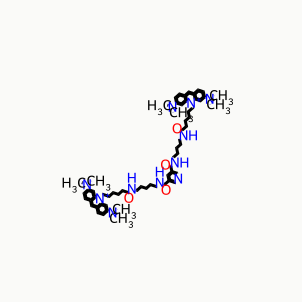 CN(C)c1ccc2cc3ccc(N(C)C)cc3[n+](CCCCCC(=O)NCCCCCNC(=O)c3cncc(C(=O)NCCCCCNC(=O)CCCCC[n+]4c5cc(N(C)C)ccc5cc5ccc(N(C)C)cc54)c3)c2c1